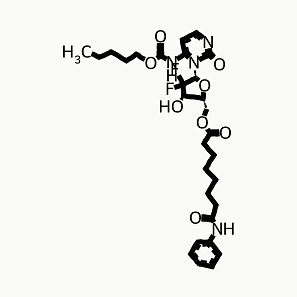 CCCCCOC(=O)Nc1ccnc(=O)n1[C@@H]1O[C@H](COC(=O)CCCCCCC(=O)Nc2ccccc2)[C@@H](O)C1(F)F